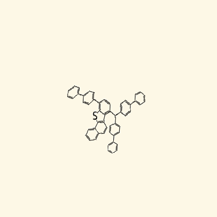 c1ccc(-c2ccc(-c3ccc(C(c4ccc(-c5ccccc5)cc4)c4ccc(-c5ccccc5)cc4)c4c3sc3c5ccccc5ccc34)cc2)cc1